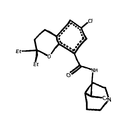 CCC1(CC)CCc2cc(Cl)cc(C(=O)NC3CN4CCC3CC4)c2O1